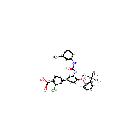 Cc1cccc(NC(=O)Nc2cc(-c3ccc(C(=O)O)c(Cl)c3)ccc2Oc2ccccc2C(C)(C)C)c1